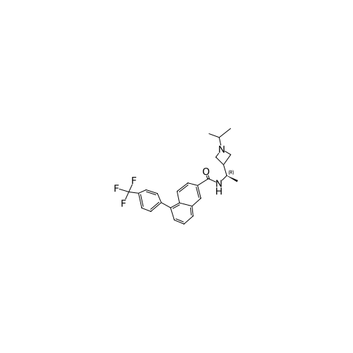 CC(C)N1CC([C@@H](C)NC(=O)c2ccc3c(-c4ccc(C(F)(F)F)cc4)cccc3c2)C1